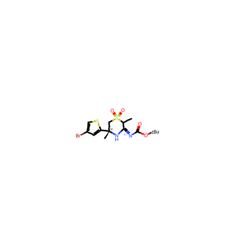 CC1/C(=N\C(=O)OC(C)(C)C)N[C@](C)(c2cc(Br)cs2)CS1(=O)=O